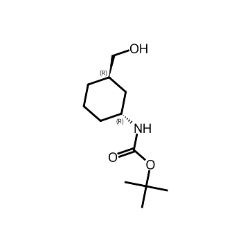 CC(C)(C)OC(=O)N[C@@H]1CCC[C@@H](CO)C1